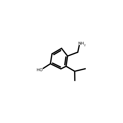 CC(C)c1cc(O)ccc1CN